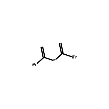 C=C(SC(=C)C(C)C)C(C)C